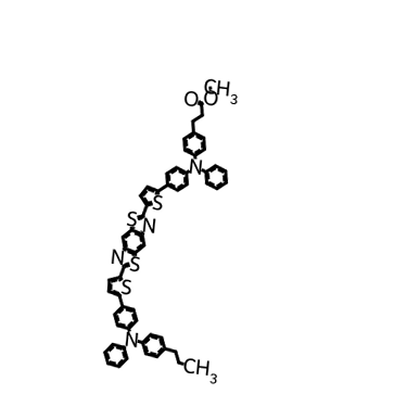 CCCc1ccc(N(c2ccccc2)c2ccc(-c3ccc(-c4nc5cc6sc(-c7ccc(-c8ccc(N(c9ccccc9)c9ccc(CCC(=O)OC)cc9)cc8)s7)nc6cc5s4)s3)cc2)cc1